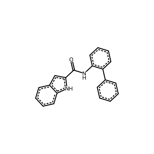 O=C(Nc1ccccc1-c1ccccc1)c1cc2ccccc2[nH]1